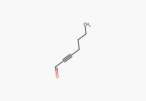 CCCCC#CC=O